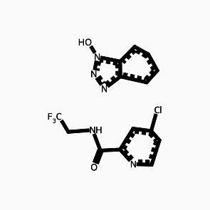 O=C(NCC(F)(F)F)c1cc(Cl)ccn1.On1nnc2ccccc21